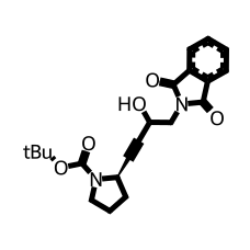 CC(C)(C)OC(=O)N1CCC[C@@H]1C#CC(O)CN1C(=O)c2ccccc2C1=O